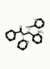 O=C(c1ccccc1)[C@@H](c1ccccn1)[C@H](Nc1ccccn1)c1ccccc1[N+](=O)[O-]